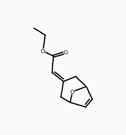 CCOC(=O)C=C1CC2C=CC(C1)O2